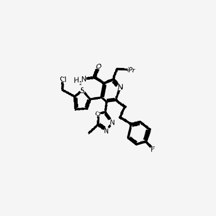 Cc1nnc(-c2c(CCc3ccc(F)cc3)nc(CC(C)C)c(C(N)=O)c2-c2ccc(CCl)s2)o1